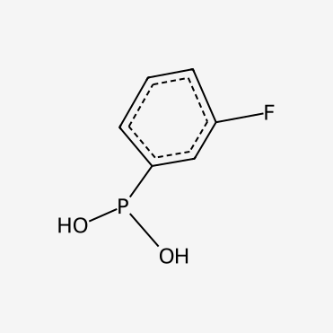 OP(O)c1cccc(F)c1